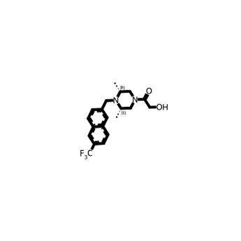 C[C@@H]1CN(C(=O)CO)C[C@H](C)N1Cc1ccc2cc(C(F)(F)F)ccc2c1